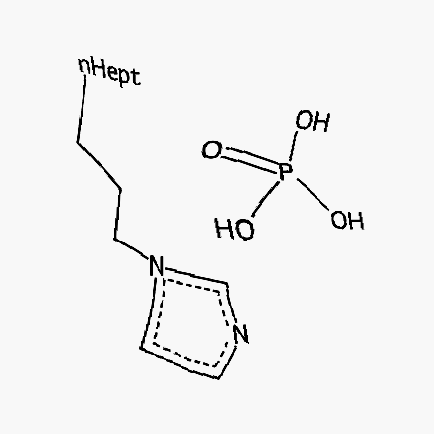 CCCCCCCCCCn1ccnc1.O=P(O)(O)O